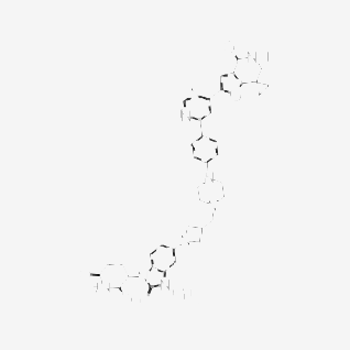 Cn1c(=O)n(C2CCC(=O)NC2=O)c2ccc(N3CC(CN4CCN(c5ccc(-c6cc(-c7cc8c(o7)C7(CC7)CNC8=O)ncn6)cc5)CC4)C3)cc21